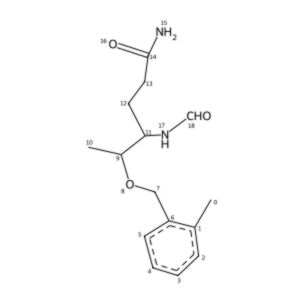 Cc1ccccc1COC(C)C(CCC(N)=O)NC=O